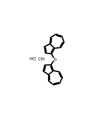 Cl.Cl.c1ccc2cc[c]([Zr][c]3ccc4cccccc3-4)c-2cc1